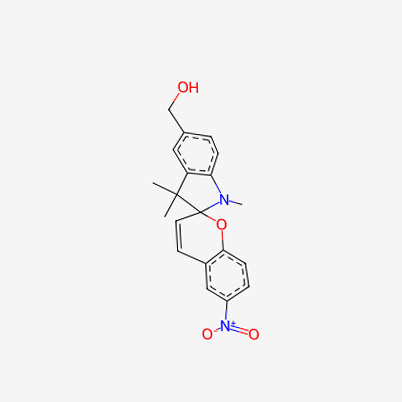 CN1c2ccc(CO)cc2C(C)(C)C12C=Cc1cc([N+](=O)[O-])ccc1O2